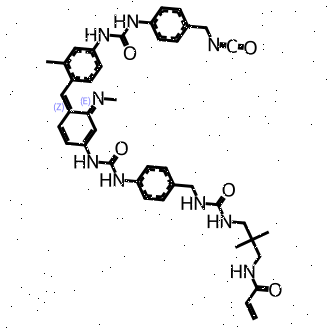 C=CC(=O)NCC(C)(C)CNC(=O)NCc1ccc(NC(=O)NC2=CC(=N\C)/C(=C\c3ccc(NC(=O)Nc4ccc(CN=C=O)cc4)cc3C)C=C2)cc1